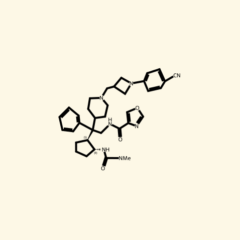 CNC(=O)N[C@@H]1CCC[C@H]1C(CNC(=O)c1cocn1)(c1ccccc1)C1CCN(CC2CN(c3ccc(C#N)cc3)C2)CC1